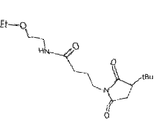 CCOCCNC(=O)CCCN1C(=O)CC(C(C)(C)C)C1=O